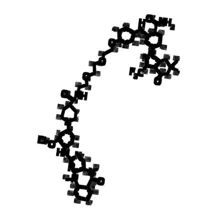 CCOc1cc(N2CCC(C(=O)NCCOCCOCCOc3ccc(Nc4cc(-n5nc(C(F)(F)F)c6c5CC(C)(C)CC6=O)ccc4C(N)=O)cc3)CC2)ccc1Nc1ncc2c(n1)N(C)c1ccccc1C(=O)N2C